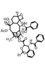 CCC(=O)OC(C(=O)OC1C[C@]2(O)[C@H](OC(=O)c3ccccc3)C3[C@@]4(OC(C)=O)CO[C@H]4C[C@@H](O)[C@]3(C)C(=O)[C@@H](OC(C)=O)C(=C1C)C2(C)C)[C@H](NC(=O)c1ccccc1)c1ccccc1